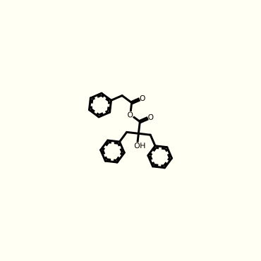 O=C(Cc1ccccc1)OC(=O)C(O)(Cc1ccccc1)Cc1ccccc1